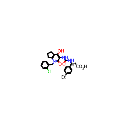 CCc1ccc([C@H](CC(=O)O)NC(=O)Nc2c(O)c3c(n(Cc4ccccc4Cl)c2=O)CCC3)cc1